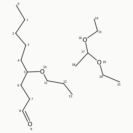 CCCCCC(CCC=O)OCCC.CCOC(C)OCC